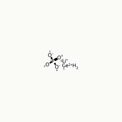 O=P([O-])([O-])[O-].[GeH2+2].[Li+]